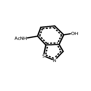 CC(=O)Nc1ccc(O)c2cnsc12